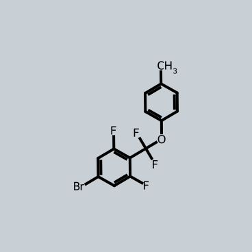 Cc1ccc(OC(F)(F)c2c(F)cc(Br)cc2F)cc1